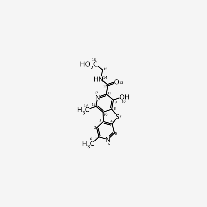 Cc1cc2c(cn1)sc1c(O)c(C(=O)NCC(=O)O)nc(C)c12